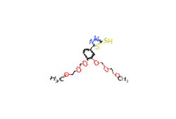 COCCOCOc1ccc(-c2nnc(S)s2)cc1OCOCCOC